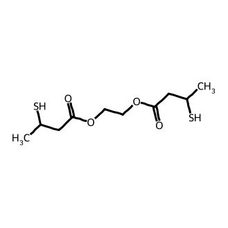 CC(S)CC(=O)OCCOC(=O)CC(C)S